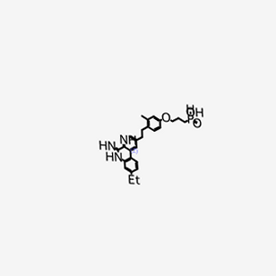 C=C(/C=C1\C(=N)C(=N)Nc2cc(CC)ccc21)CCc1ccc(OCCC[PH](=O)O)cc1C